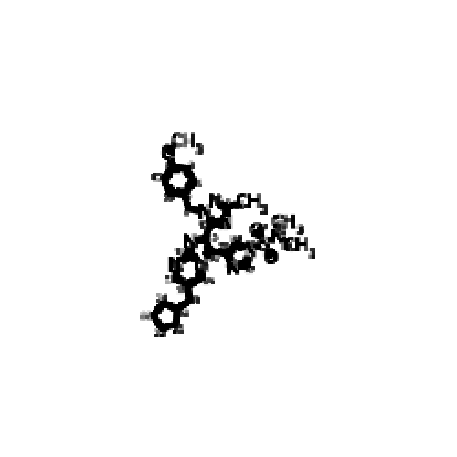 COc1ccc(Cn2nc(C)nc2-c2nc3ncc(CC4CCCC4)cn3c2-c2cn(S(=O)(=O)N(C)C)cn2)cc1